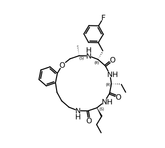 CCC[C@@H]1NC(=O)[C@@H](CC)NC(=O)[C@@H](Cc2cccc(F)c2)N[C@@H](C)COc2ccccc2CCCNC1=O